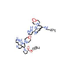 CC(C)(C)OC(=O)[C@@H]1CCCN1c1cc(N2CCOCC2)nc2c(-c3ccn[nH]3)nccc12.CC(C)CN(C)c1cc(N2CCOCC2)nc2c(-c3ccn[nH]3)nccc12